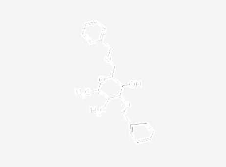 CC1OC(COCc2ccccc2)C(O)C(OCc2ccccc2)C1C